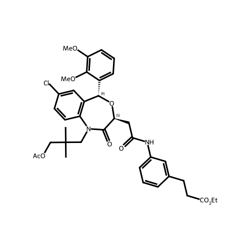 CCOC(=O)CCc1cccc(NC(=O)C[C@@H]2O[C@@H](c3cccc(OC)c3OC)c3cc(Cl)ccc3N(CC(C)(C)COC(C)=O)C2=O)c1